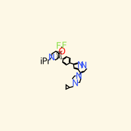 CC(C)N1CC[C@@H](OC(F)F)[C@H](c2ccc(-c3cc4c(N5CCN(CC6CC6)CC5)ccnn4c3)cc2)C1